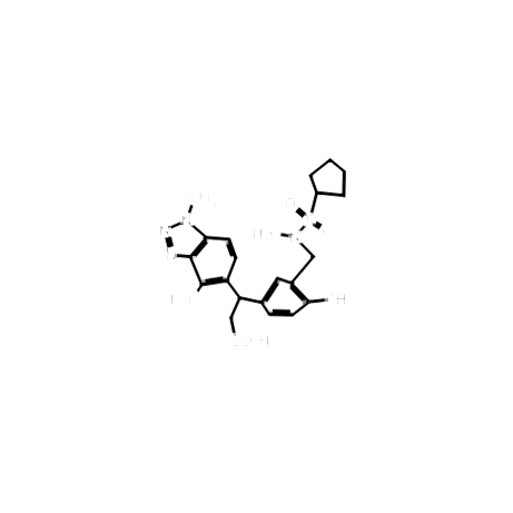 Cc1ccc(C(CC(=O)O)c2ccc3c(nnn3C)c2C)cc1CN(C)S(=O)(=O)C1CCCC1